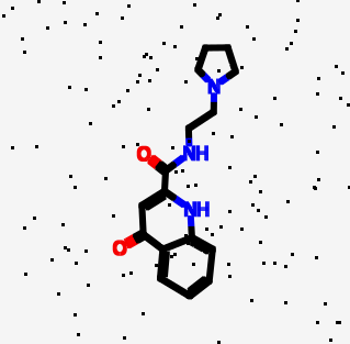 O=C(NCCN1CCCC1)c1cc(=O)c2ccccc2[nH]1